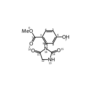 COC(=O)c1ccc(O)cc1.O=C1CNC(=O)N1